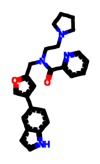 O=C(c1ccccn1)N(CCN1CCCC1)Cc1cc(-c2ccc3[nH]ccc3c2)co1